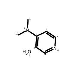 CN(C)c1ccncc1.O